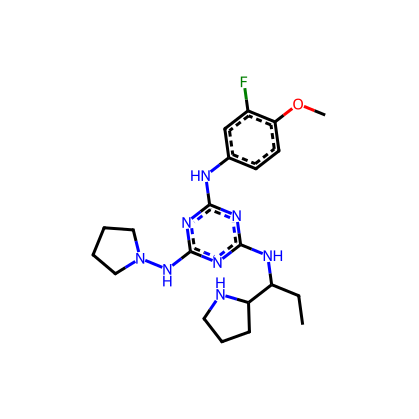 CCC(Nc1nc(Nc2ccc(OC)c(F)c2)nc(NN2CCCC2)n1)C1CCCN1